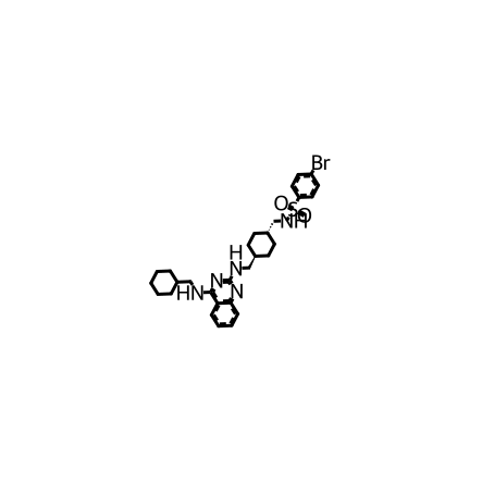 O=S(=O)(NC[C@H]1CC[C@H](CNc2nc(NCC3CCCCC3)c3ccccc3n2)CC1)c1ccc(Br)cc1